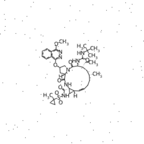 CC[C@@H]1C[C@H](C)CCC=C[C@@H]2C[C@@]2(C(=O)NS(=O)(=O)C2(C)CC2)NC(=O)[C@@H]2C[C@@H](Oc3nnc(OC)c4ccccc34)CN2C(=O)[C@H]1NC(=O)NC(C)(C)C